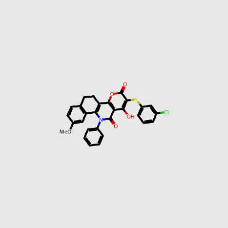 COc1ccc2c(c1)-c1c(c3oc(=O)c(Sc4cccc(Cl)c4)c(O)c3c(=O)n1-c1ccccc1)CC2